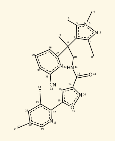 Cc1nn(C)c(C)c1C(C)(CNC(=O)c1cc(-c2ncc(F)cc2F)on1)c1cccc(C#N)n1